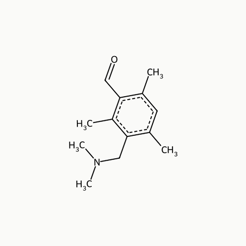 Cc1cc(C)c(CN(C)C)c(C)c1C=O